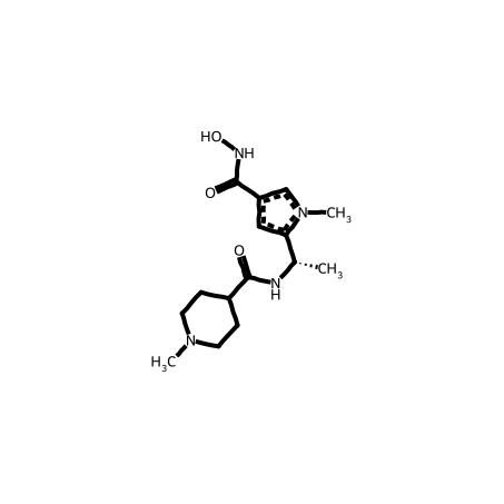 C[C@H](NC(=O)C1CCN(C)CC1)c1cc(C(=O)NO)cn1C